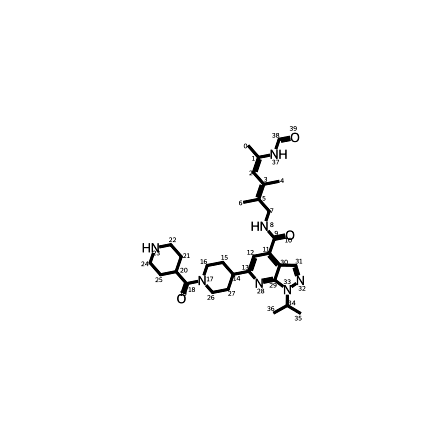 C/C(=C/C(C)=C(\C)CNC(=O)c1cc(C2CCN(C(=O)C3CCNCC3)CC2)nc2c1cnn2C(C)C)NC=O